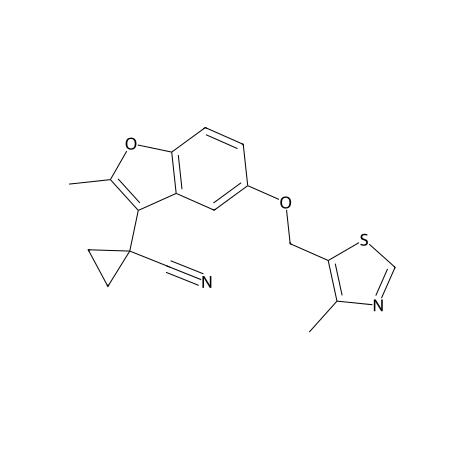 Cc1ncsc1COc1ccc2oc(C)c(C3(C#N)CC3)c2c1